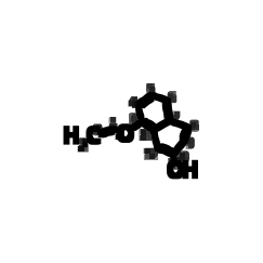 C=COc1cccc2ccc(O)cc12